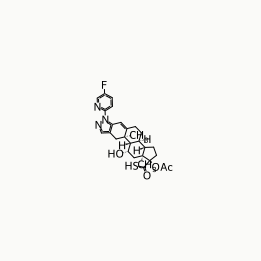 CC(=O)O[C@]1(C(=O)S)CC[C@H]2[C@@H]3CCC4=Cc5c(cnn5-c5ccc(F)cn5)C[C@]4(C)[C@H]3[C@@H](O)C[C@@]21C